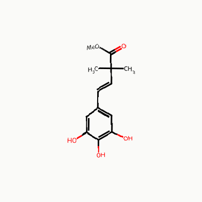 COC(=O)C(C)(C)C=Cc1cc(O)c(O)c(O)c1